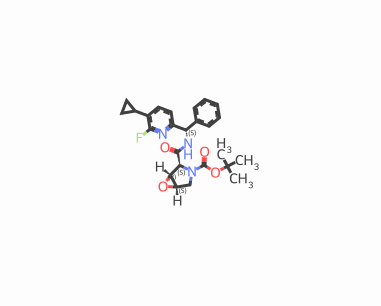 CC(C)(C)OC(=O)N1C[C@@H]2O[C@@H]2[C@H]1C(=O)N[C@@H](c1ccccc1)c1ccc(C2CC2)c(F)n1